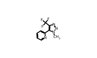 Cn1nnc(C(F)(F)F)c1-c1ccccn1